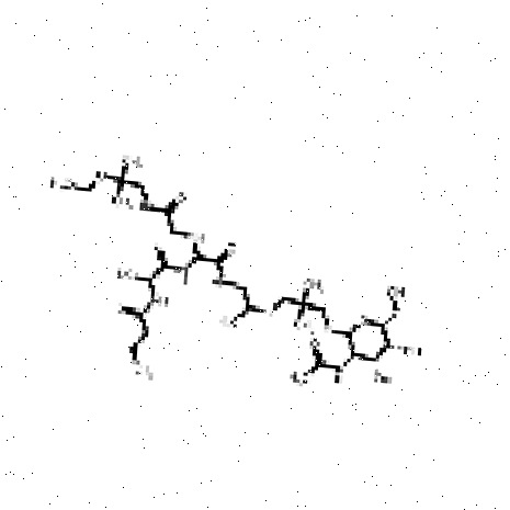 CCCC(=O)NC(C)C(=O)NC(NCC(=O)NCC(C)(C)OCC)C(=O)NCC(C)OCC(C)(C)COC1O[C@H](CO)[C@H](O)[C@H](O)[C@H]1NC(C)=O